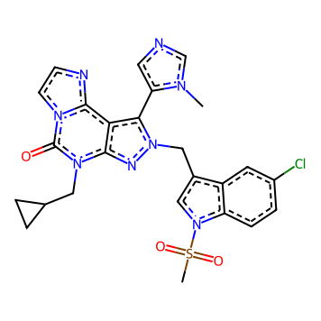 Cn1cncc1-c1c2c(nn1Cc1cn(S(C)(=O)=O)c3ccc(Cl)cc13)n(CC1CC1)c(=O)n1ccnc21